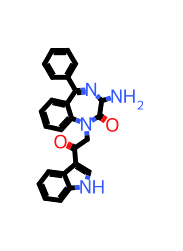 NC1N=C(c2ccccc2)c2ccccc2N(CC(=O)c2c[nH]c3ccccc23)C1=O